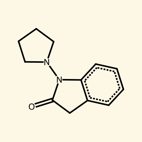 O=C1Cc2ccccc2N1N1CCCC1